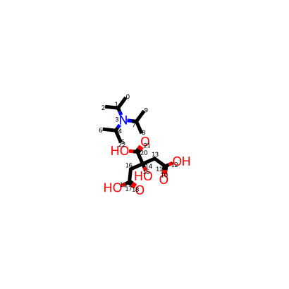 CC(C)N(C(C)C)C(C)C.O=C(O)CC(O)(CC(=O)O)C(=O)O